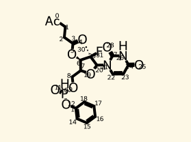 CC(=O)CCC(=O)O[C@@H]1C(CO[PH](=O)Oc2ccccc2)OC(n2ccc(=O)[nH]c2=O)[C@]1(C)F